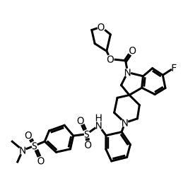 CN(C)S(=O)(=O)c1ccc(S(=O)(=O)Nc2ccccc2N2CCC3(CC2)CN(C(=O)OC2CCOC2)c2cc(F)ccc23)cc1